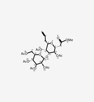 C=CC[C@H]1O[C@H](CC(=O)OC)[C@@H](OC(C)=O)[C@H](O[C@H]2O[C@H](COC(C)=O)[C@@H](OC(C)=O)[C@H](OC(C)=O)[C@@H]2OC(C)=O)[C@@H]1OC(C)=O